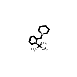 CC(C)(C)c1ccccc1CN1CCCCC1